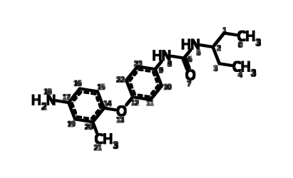 CCC(CC)NC(=O)Nc1ccc(Oc2ccc(N)cc2C)cc1